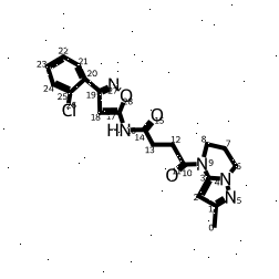 Cc1cc2n(n1)CCCN2C(=O)CCC(=O)Nc1cc(-c2ccccc2Cl)no1